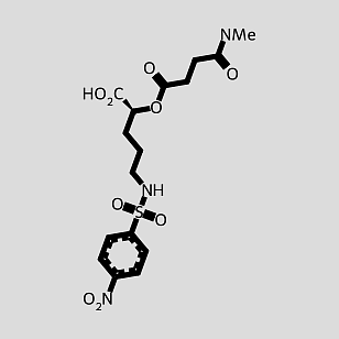 CNC(=O)CCC(=O)O[C@@H](CCCNS(=O)(=O)c1ccc([N+](=O)[O-])cc1)C(=O)O